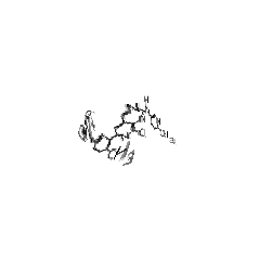 Cc1ccc(Nc2ncc3cc(-c4cc([N+](=O)[O-])ccc4C)nc(Cl)c3n2)cn1